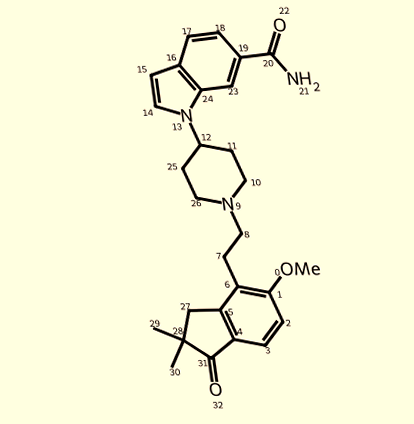 COc1ccc2c(c1CCN1CCC(n3ccc4ccc(C(N)=O)cc43)CC1)CC(C)(C)C2=O